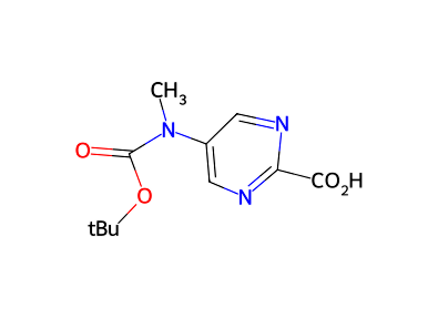 CN(C(=O)OC(C)(C)C)c1cnc(C(=O)O)nc1